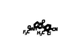 Cc1c(N2CC3C(NC(=O)C(F)(F)F)CCN3C2=O)ccc(C#N)c1Cl